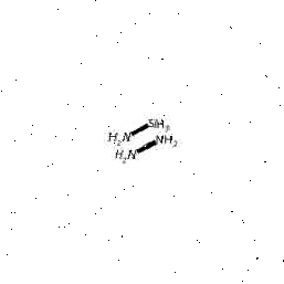 NN.N[SiH3]